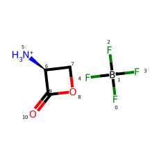 F[B-](F)(F)F.[NH3+][C@H]1COC1=O